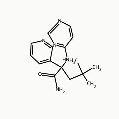 CC(C)(C)CC(Nc1ccncn1)(C(N)=O)c1cccnc1